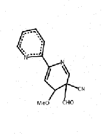 COC1C=C(c2ccccn2)N=CC1(C#N)C=O